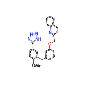 COc1ccc(-c2nnn[nH]2)cc1Cc1cccc(OCc2ccc3ccccc3n2)c1